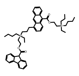 CCCC[N+](CC)(CCC)CCOC(=O)c1c2ccccc2cc2c(CCC[N+](CC)(CCCC)CCOC(=O)C3c4ccccc4-c4ccccc43)cccc12